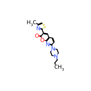 CCCN1CCN(c2ccc3cc(-c4nc(C)cs4)c(=O)oc3n2)CC1